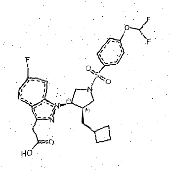 O=C(O)Cc1nn([C@H]2CN(S(=O)(=O)c3ccc(OC(F)F)cc3)C[C@H]2CC2CCC2)c2cc(F)ccc12